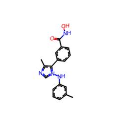 Cc1cccc(Nn2cnc(C)c2-c2cccc(C(=O)NO)c2)c1